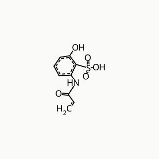 C=CC(=O)Nc1cccc(O)c1S(=O)(=O)O